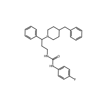 O=C(NCCC(c1ccccc1)N1CCC(Cc2ccccc2)CC1)Nc1ccc(F)cc1